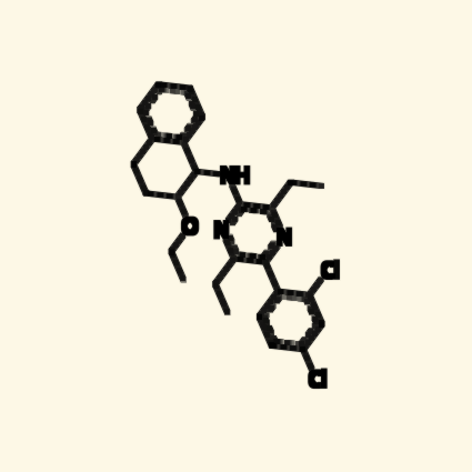 CCOC1CCc2ccccc2C1Nc1nc(CC)c(-c2ccc(Cl)cc2Cl)nc1CC